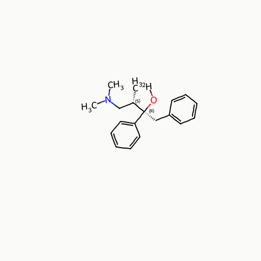 [2H]O[C@@](Cc1ccccc1)(c1ccccc1)[C@@H](C)CN(C)C